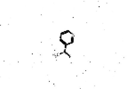 C[C@H](F)c1cccnc1